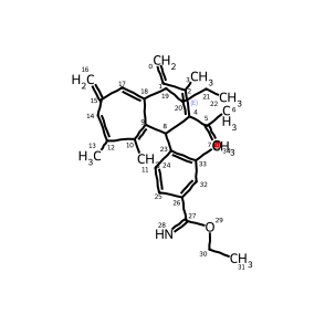 C=C/C(C)=C(/C(C)=O)C(C1=C(C)C(C)=CC(=C)C=C1CCCC)c1ccc(C(=N)OCC)cc1C